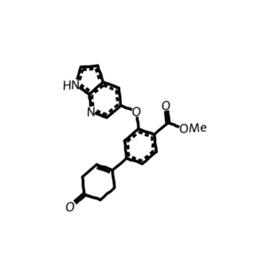 COC(=O)c1ccc(C2=CCC(=O)CC2)cc1Oc1cnc2[nH]ccc2c1